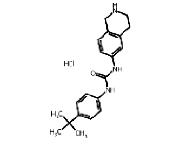 CC(C)(C)c1ccc(NC(=O)Nc2ccc3c(c2)CCNC3)cc1.Cl